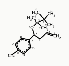 C=CCC(O[Si](C)(C)C(C)(C)C)c1ccc(Cl)cc1